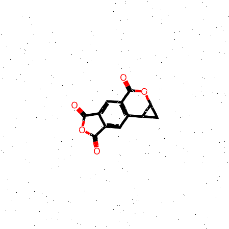 O=C1OC(=O)c2cc3c(cc21)C(=O)OC1CC31